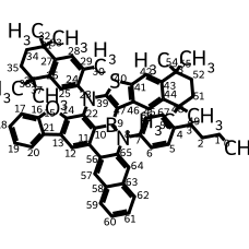 CCCCc1ccc(N2B3c4c(cc5c(oc6ccccc65)c4N(c4cc5c(cc4C)C(C)(C)CCC5(C)C)c4sc5cc6c(cc5c43)C(C)(C)CCC6(C)C)-c3cc4ccccc4cc32)cc1